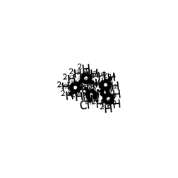 [2H]c1c([2H])c([2H])c2c(c1[2H])c1c([2H])c([2H])c([2H])c([2H])c1n2-c1cc(-n2c3c([2H])c([2H])c([2H])c([2H])c3c3c([2H])c([2H])c([2H])c([2H])c32)nc(Cl)n1